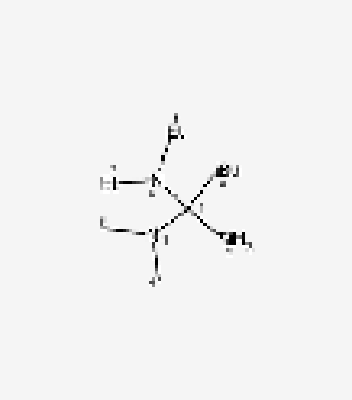 CCC(C)C([SiH3])(N(C)C)N(CC)CC